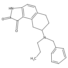 CCCN(Cc1ccccc1)C1CCc2ccc3c(c2C1)C(=O)C(=O)N3